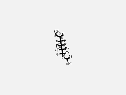 CC(C)C(=O)OC(F)(F)C(F)(F)C(F)(F)C(F)(F)C(F)CC(F)(F)F